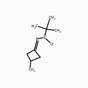 CC1CC(=N[S+]([O-])C(C)(C)C)C1